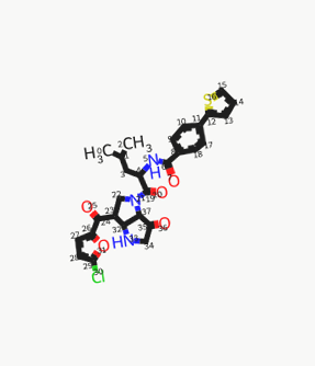 CC(C)CC(NC(=O)c1ccc(-c2cccs2)cc1)C(=O)N1CC(C(=O)c2ccc(Cl)o2)C2NCC(=O)C21